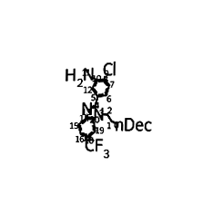 CCCCCCCCCCCCn1c(-c2ccc(Cl)c(N)c2)nc2ccc(C(F)(F)F)cc21